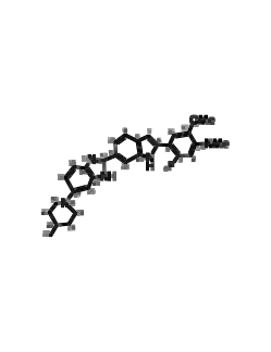 CNc1cc(F)c(-c2cc3ccc(-c4nc5ccc(N6CCC(C)CC6)cc5[nH]4)cc3[nH]2)cc1OC